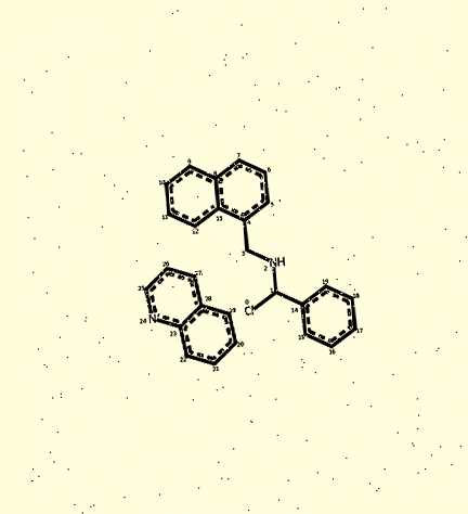 ClC(NCc1cccc2ccccc12)c1ccccc1.c1ccc2ncccc2c1